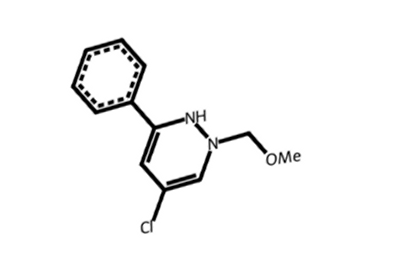 COCN1C=C(Cl)C=C(c2ccccc2)N1